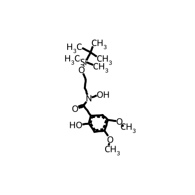 COc1cc(O)c(C(=O)N(O)CCO[Si](C)(C)C(C)(C)C)cc1OC